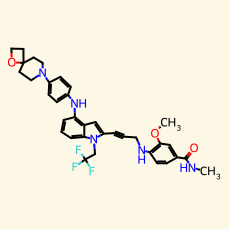 CNC(=O)c1ccc(NCC#Cc2cc3c(Nc4ccc(N5CCC6(CCO6)CC5)cc4)cccc3n2CC(F)(F)F)c(OC)c1